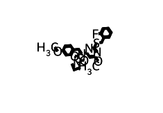 COc1ccc(CN(c2cc(OC)nc(SCc3ccccc3F)n2)S(=O)(=O)N2CCC2)cc1